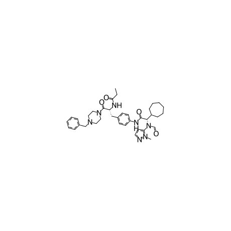 CCC(=O)N[C@H](Cc1ccc(NC(=O)[C@H](C2CCCCCC2)N(C=O)c2ccnn2C)cc1)C(=O)N1CCN(Cc2ccccc2)CC1